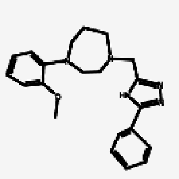 COc1ccccc1N1CCCN(Cc2nnc(-c3ccccc3)[nH]2)CC1